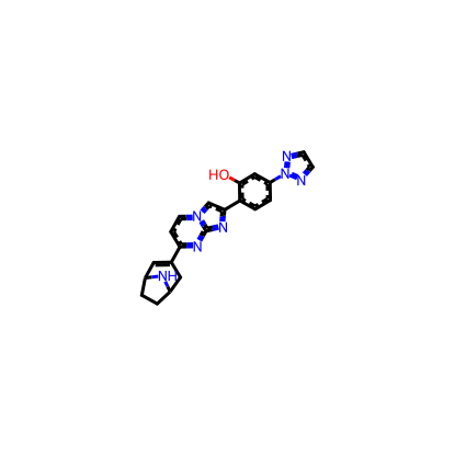 Oc1cc(-n2nccn2)ccc1-c1cn2ccc(C3=CC4CCC(C3)N4)nc2n1